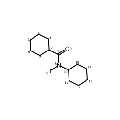 O=C(C1CCCCC1)N(I)C1CCCCC1